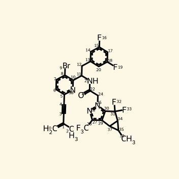 C=C(C)C#Cc1ccc(Br)c(C(Cc2cc(F)cc(F)c2)NC(=O)Cn2nc(C(F)(F)F)c3c2C(F)(F)C2C(C)C32)n1